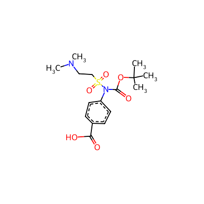 CN(C)CCS(=O)(=O)N(C(=O)OC(C)(C)C)c1ccc(C(=O)O)cc1